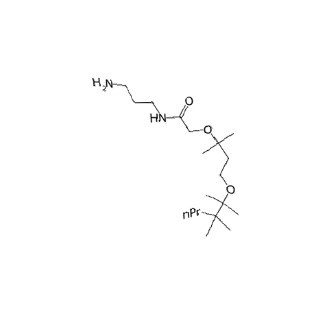 CCCC(C)(C)C(C)(C)OCCC(C)(C)OCC(=O)NCCCN